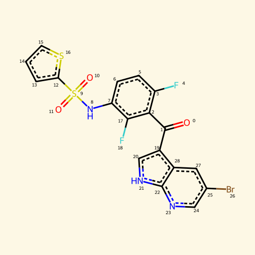 O=C(c1c(F)ccc(NS(=O)(=O)c2cccs2)c1F)c1c[nH]c2ncc(Br)cc12